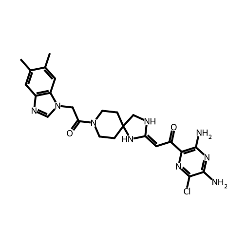 Cc1cc2ncn(CC(=O)N3CCC4(CC3)CN/C(=C\C(=O)c3nc(Cl)c(N)nc3N)N4)c2cc1C